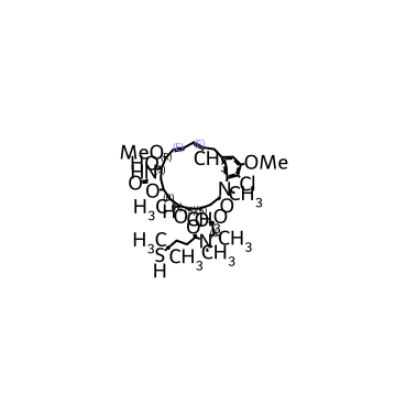 COc1cc2cc(c1Cl)N(C)C(=O)C[C@H](OC(=O)[C@H](C)N(C)C(=O)CCC(C)(C)S)[C@]1(C)O[C@@H]1[C@H](C)C1C[C@@](O)(NC(=O)O1)[C@H](OC)/C=C/C=C(\C)C2